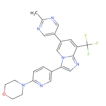 Cc1ncc(-c2cc(C(F)(F)F)c3ncc(-c4ccc(N5CCOCC5)nc4)n3c2)cn1